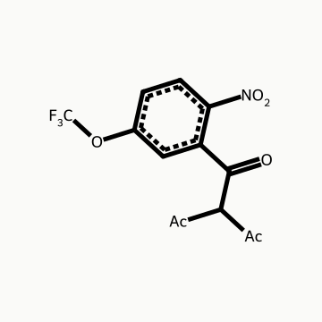 CC(=O)C(C(C)=O)C(=O)c1cc(OC(F)(F)F)ccc1[N+](=O)[O-]